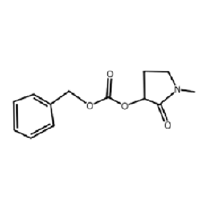 CN1CCC(OC(=O)OCc2ccccc2)C1=O